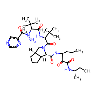 CCC[C@H](NC(=O)[C@@H]1[C@H]2CCC[C@H]2CN1C(=O)[C@@H](NC(=O)[C@@H](N(N)C(=O)c1cnccn1)C(C)(C)C)C(C)(C)C)C(=O)C(=O)N[C@@H](C)CC